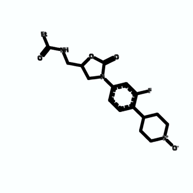 CCC(=O)NCC1CN(c2ccc(C3CC[S+]([O-])CC3)c(F)c2)C(=O)O1